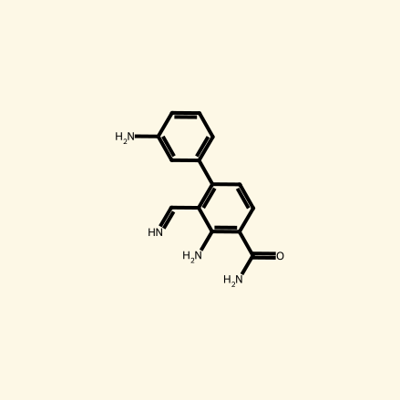 N=Cc1c(-c2cccc(N)c2)ccc(C(N)=O)c1N